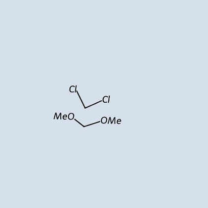 COCOC.ClCCl